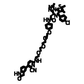 Cc1sc2c(c1C)C(c1ccc(Cl)cc1)=N[C@@H](CC(=O)Nc1ccc(OCCOCCOCCOCCNc3ccc(-c4ccc5c(c4)CC(=O)N5)c(C#N)n3)cc1)c1nnc(C)n1-2